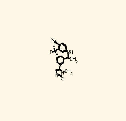 CC(Nc1ccc(C#N)c(C(F)(F)F)c1)C1C=C(c2cnc(Cl)n2C)CCC1